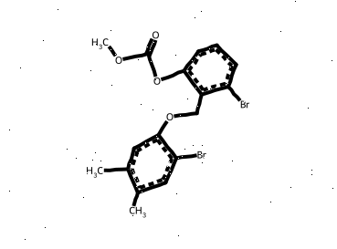 COC(=O)Oc1cccc(Br)c1COc1cc(C)c(C)cc1Br